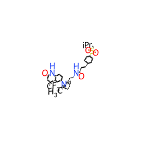 CC(C)CS(=O)(=O)c1ccc(C=CC(=O)NCC[C@H]2CC[C@@H](C)N2c2ccc3[nH]c(=O)cc(C(F)(F)F)c3c2)cc1